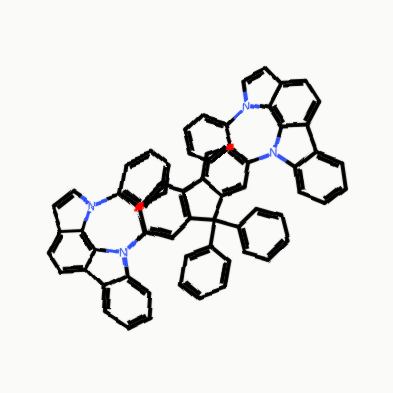 c1ccc(-n2ccc3ccc4c5ccccc5n(-c5ccc6c(c5)C(c5ccccc5)(c5ccccc5)c5cc(-n7c8ccccc8c8ccc9ccn(-c%10ccccc%10)c9c87)ccc5-6)c4c32)cc1